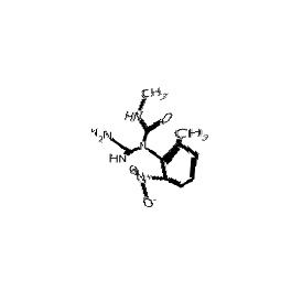 CNC(=O)N(C(=N)N)c1c(C)cccc1[N+](=O)[O-]